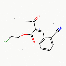 CC(=O)/C(=C/c1ccccc1C#N)C(=O)OCCCl